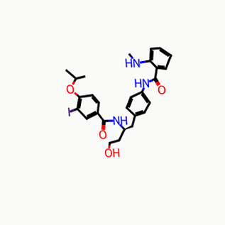 CNc1ccccc1C(=O)Nc1ccc(C[C@@H](CCO)NC(=O)c2ccc(OC(C)C)c(I)c2)cc1